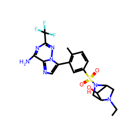 CCN1CC2C(O)C1CN2S(=O)(=O)c1ccc(C)c(-c2cnc3c(N)nc(C(F)(F)F)nn23)c1